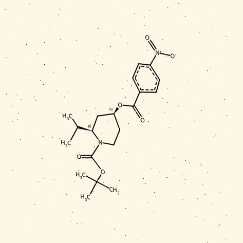 CC(C)[C@H]1C[C@@H](OC(=O)c2ccc([N+](=O)[O-])cc2)CCN1C(=O)OC(C)(C)C